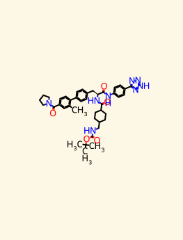 Cc1cc(C(=O)N2CCCC2)ccc1-c1ccc(C[C@H](NC(=O)C2CCC(CNC(=O)OC(C)(C)C)CC2)C(=O)Nc2ccc(-c3nn[nH]n3)cc2)cc1